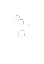 CC(Nc1ccn2nccc2n1)c1cc(F)ccc1OCCO